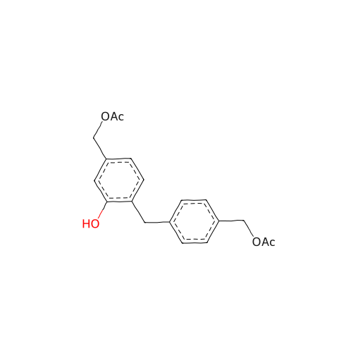 CC(=O)OCc1ccc(Cc2ccc(COC(C)=O)cc2O)cc1